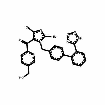 CCCCc1nc(Cl)c(C(=O)c2ccc(CO)cn2)n1Cc1ccc(-c2ccccc2-c2nnn[nH]2)cc1